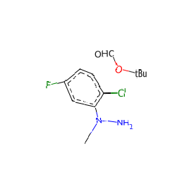 CC(C)(C)OC=O.CN(N)c1cc(F)ccc1Cl